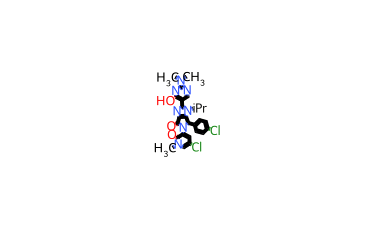 CC(C)n1c(-c2cnc(N(C)C)nc2O)nc2c1C(c1ccc(Cl)cc1)N(c1cc(Cl)cn(C)c1=O)C2=O